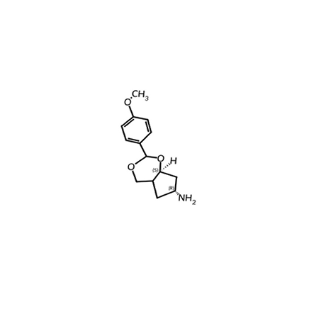 COc1ccc(C2OCC3C[C@@H](N)C[C@@H]3O2)cc1